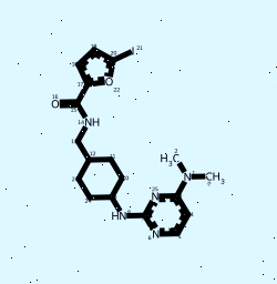 CN(C)c1ccnc(NC2CCC(CNC(=O)c3ccc(I)o3)CC2)n1